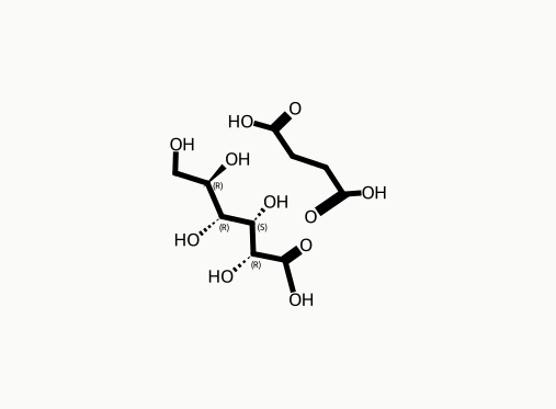 O=C(O)CCC(=O)O.O=C(O)[C@H](O)[C@@H](O)[C@H](O)[C@H](O)CO